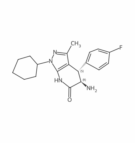 Cc1nn(C2CCCCC2)c2c1[C@H](c1ccc(F)cc1)[C@@H](N)C(=O)N2